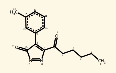 CCCCCC(=O)C1=C(c2cccc(C)c2)C(=O)N=N1